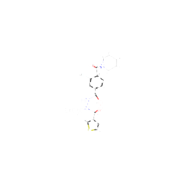 CCOC(=O)N(NC(=O)c1ccc(C(=O)N2CCCCC2)c(F)c1)C(=O)c1ccsc1